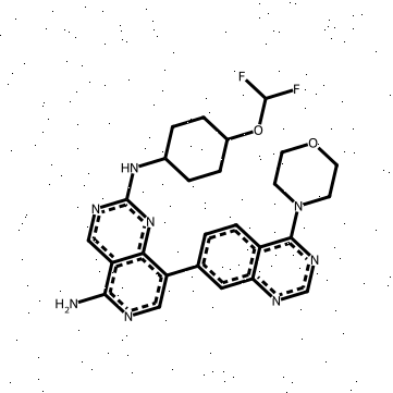 Nc1ncc(-c2ccc3c(N4CCOCC4)ncnc3c2)c2nc(NC3CCC(OC(F)F)CC3)ncc12